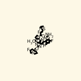 CN(c1nc(OC[C@@]23CCCN2C[C@H](F)C3)nc2c(F)c(-c3c(F)cc(F)c4sc(N)nc34)ncc12)[C@@H]1CCN(C(=O)/C(F)=C/c2nccs2)C1